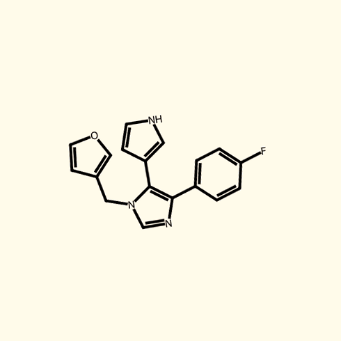 Fc1ccc(-c2ncn(Cc3ccoc3)c2-c2cc[nH]c2)cc1